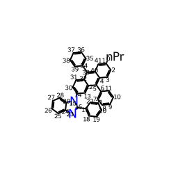 CCCc1ccc2c(-c3ccccc3)c3cc(-n4c(-c5ccccc5)nc5ccccc54)ccc3c(-c3ccccc3)c2c1